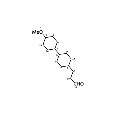 COC1CCC(C2CCC(CCC=O)CC2)CC1